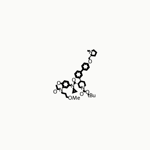 COCCCN1C(=O)COc2ccc(N(C(=O)[C@H]3CN(C(=O)OC(C)(C)C)CC[C@@H]3c3cccc(-c4ccc(OC[C@@H]5CCCN5C)cc4)c3)C3CC3)cc21